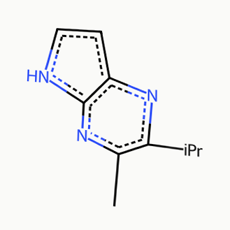 Cc1nc2[nH]ccc2nc1C(C)C